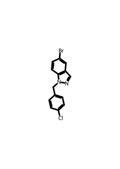 Clc1ccc(Cn2ncc3cc(Br)ccc32)cc1